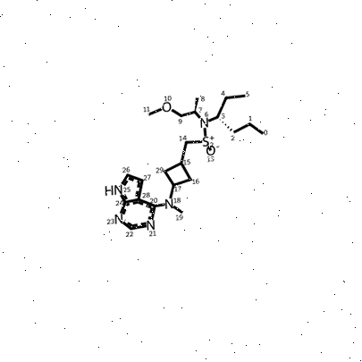 CCC[C@@H](CC)N([C@H](C)COC)[S+]([O-])CC1CC(N(C)c2ncnc3[nH]ccc23)C1